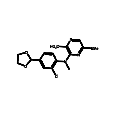 CNc1cnc(C(=O)O)c(N(C)c2ccc(C3OCCO3)cc2Cl)n1